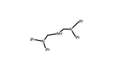 CC(C)N(CNCN(C(C)C)C(C)C)C(C)C